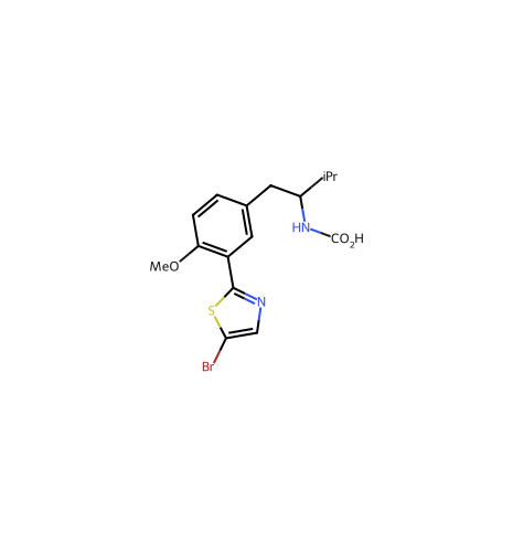 COc1ccc(CC(NC(=O)O)C(C)C)cc1-c1ncc(Br)s1